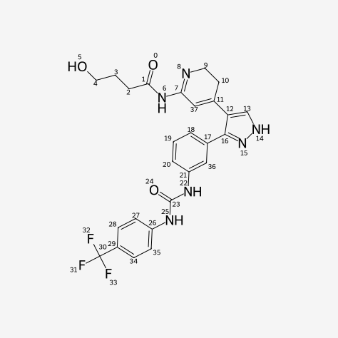 O=C(CCCO)NC1=NCCC(c2c[nH]nc2-c2cccc(NC(=O)Nc3ccc(C(F)(F)F)cc3)c2)=C1